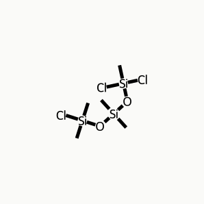 C[Si](C)(Cl)O[Si](C)(C)O[Si](C)(Cl)Cl